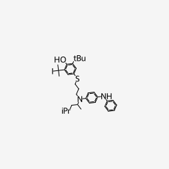 CC(C)CC(C)N(CCCSc1cc(C(C)(C)C)c(O)c(C(C)(C)I)c1)c1ccc(Nc2ccccc2)cc1